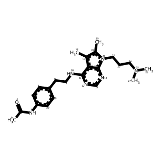 CC(=O)Nc1ccc(CCNc2ncnc3c2c(C)c(C)n3CCCN(C)C)cc1